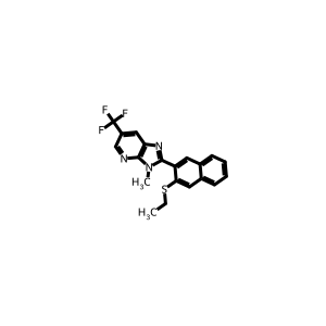 CCSc1cc2ccccc2cc1-c1nc2cc(C(F)(F)F)cnc2n1C